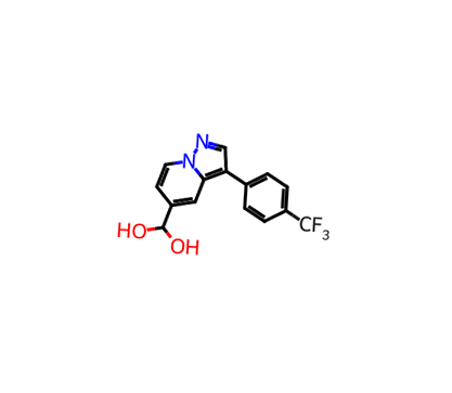 OC(O)c1ccn2ncc(-c3ccc(C(F)(F)F)cc3)c2c1